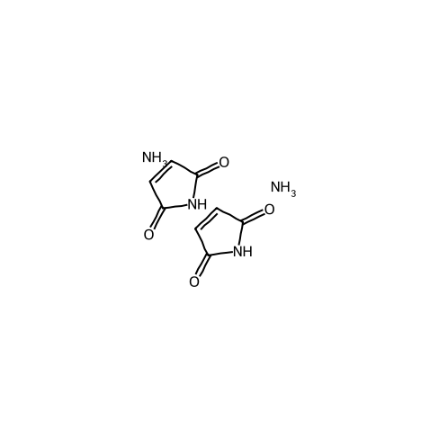 N.N.O=C1C=CC(=O)N1.O=C1C=CC(=O)N1